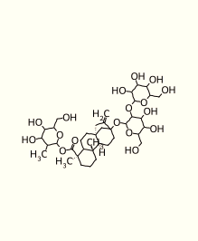 C=C1C[C@@]23CCC4[C@](C)(C(=O)OC5OC(CO)C(O)C(O)C5C)CCC[C@@]4(C)[C@@H]2CCC1(OC1OC(CO)C(O)C(O)C1OC1OC(CO)C(O)C(O)C1O)C3